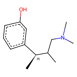 CC(CN(C)C)[C@@H](C)c1cccc(O)c1